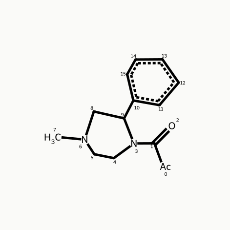 CC(=O)C(=O)N1CCN(C)CC1c1ccccc1